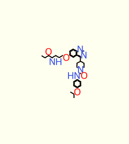 CCC(=O)C(=N)CCCOc1ccc2ncnc(C3CCN(C(=O)Nc4ccc(OC(C)C)cc4)CC3)c2c1